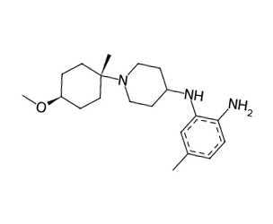 CO[C@H]1CC[C@](C)(N2CCC(Nc3cc(C)ccc3N)CC2)CC1